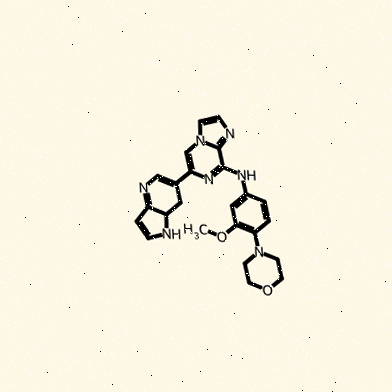 COc1cc(Nc2nc(C3=CN=C4C=CNC4C3)cn3ccnc23)ccc1N1CCOCC1